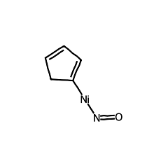 O=[N][Ni][C]1=CC=CC1